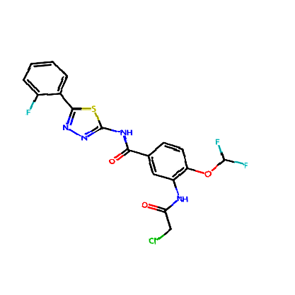 O=C(CCl)Nc1cc(C(=O)Nc2nnc(-c3ccccc3F)s2)ccc1OC(F)F